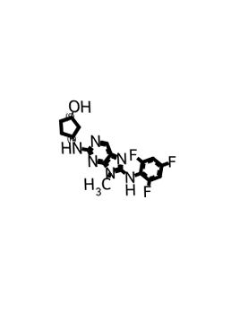 Cn1c(Nc2c(F)cc(F)cc2F)nc2cnc(N[C@@H]3CC[C@H](O)C3)nc21